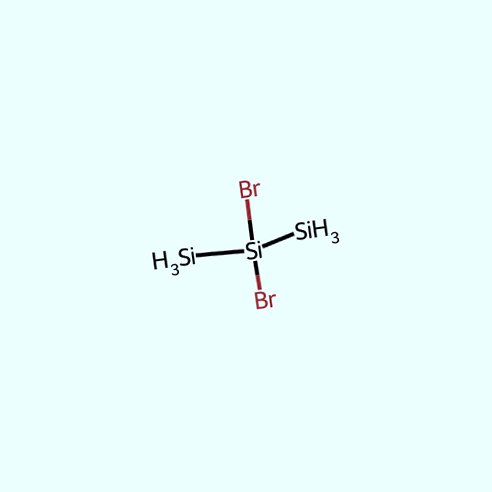 [SiH3][Si]([SiH3])(Br)Br